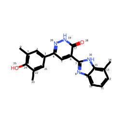 Cc1cc(-c2cc(-c3nc4cccc(C)c4[nH]3)c(=O)[nH]n2)cc(C)c1O